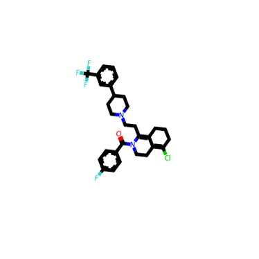 O=C(c1ccc(F)cc1)N1CCC2=C(Cl)CCCC2=C1CCN1CCC(c2cccc(C(F)(F)F)c2)CC1